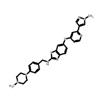 CN1CCN(c2ccc(CNc3nc4ccc(Oc5ccnc(-c6cnn(C)c6)c5)cc4s3)cc2)CC1